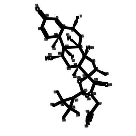 C[C@@H]1C[C@H]2[C@@H]3C[C@H](F)C4=CC(=O)C=C[C@]4(C)[C@@]3(F)[C@@H](O)C[C@]2(C)[C@@]1(OC(=O)C1C(C)(C)C1(C)C)C(=O)OCC#N